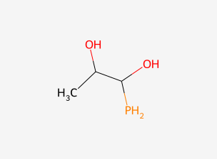 CC(O)C(O)P